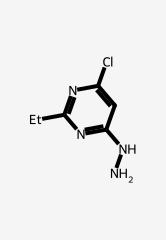 CCc1nc(Cl)cc(NN)n1